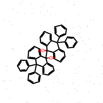 OC1(C2(O)c3ccccc3C(c3ccccc3)(c3ccccc3)c3ccccc32)c2ccccc2C(c2ccccc2)(c2ccccc2)c2ccccc21